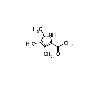 CC(=O)c1[nH]c(C)c(C)c1C